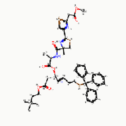 CC(C)C(NC(=O)C1(C)CSC(c2csc(CC(=O)OC(C)(C)C)n2)=N1)C(=O)O[C@H](/C=C/CCSC(c1ccccc1)(c1ccccc1)c1ccccc1)CC(=O)OCC[Si](C)(C)C